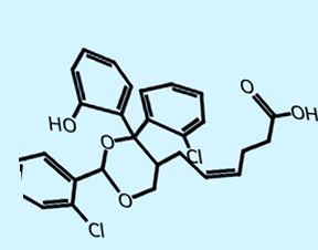 O=C(O)CC/C=C\CC1COC(c2ccccc2Cl)OC1(c1ccccc1O)c1ccccc1Cl